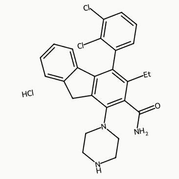 CCc1c(C(N)=O)c(N2CCNCC2)c2c(c1-c1cccc(Cl)c1Cl)-c1ccccc1C2.Cl